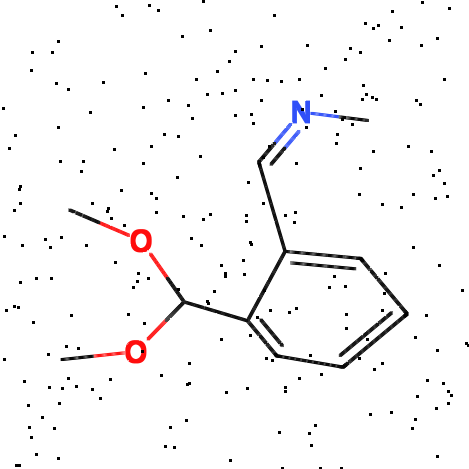 C/N=C\c1ccccc1C(OC)OC